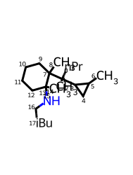 CCCC(C)(C1CC1C)C1(C)CCCCC1(C)NCC(C)CC